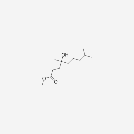 COC(=O)CCC(C)(O)CCCC(C)C